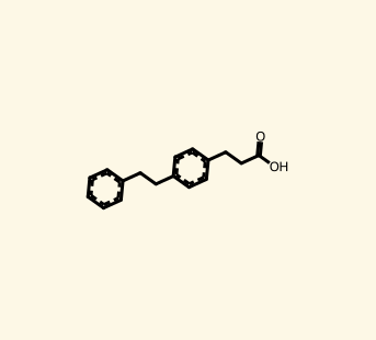 O=C(O)CCc1ccc(CCc2ccccc2)cc1